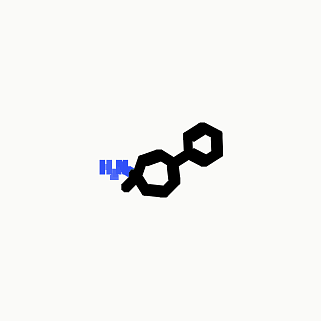 CC1(N)C=CC=C(c2ccccc2)C=C1